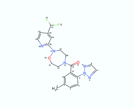 Cc1ccc(-n2nccn2)c(C(=O)N2CCON(c3cc(C(F)F)ccn3)CC2)c1